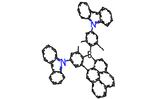 Cc1cc(-n2c3ccccc3c3ccccc32)cc(C)c1B1c2c(C)cc(-n3c4ccccc4c4ccccc43)cc2-c2cc3cccc4ccc5ccc1c2c5c43